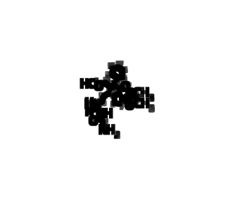 CC(C)S(=O)(=O)N1CCC[C@H]1C(=O)N(c1ccccc1)[C@H](C=O)CCCNC(=N)NC(=O)CN.Cl